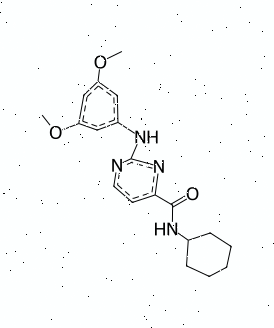 COc1cc(Nc2nccc(C(=O)NC3CCCCC3)n2)cc(OC)c1